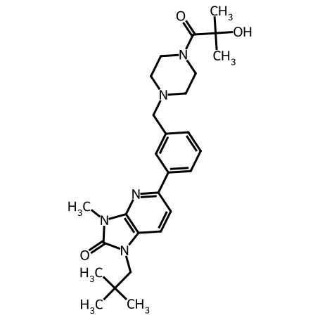 Cn1c(=O)n(CC(C)(C)C)c2ccc(-c3cccc(CN4CCN(C(=O)C(C)(C)O)CC4)c3)nc21